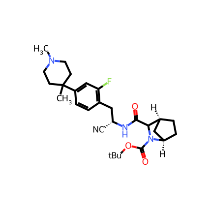 CN1CCC(C)(c2ccc(C[C@@H](C#N)NC(=O)C3[C@H]4CC[C@H](C4)N3C(=O)OC(C)(C)C)c(F)c2)CC1